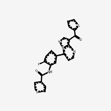 O=C(Nc1cc(-c2ccnc3c(C(=O)c4cccs4)cnn23)ccc1F)c1ccncc1